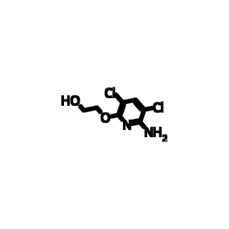 Nc1nc(OCCO)c(Cl)cc1Cl